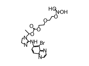 CC(OC(=O)OCCOCCON(O)O)N1CCN=C1Nc1ccc2nccnc2c1Br